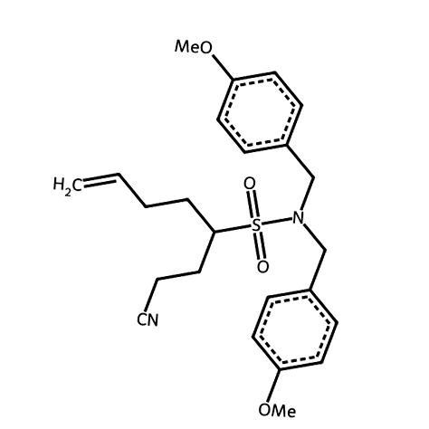 C=CCCC(CCC#N)S(=O)(=O)N(Cc1ccc(OC)cc1)Cc1ccc(OC)cc1